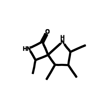 CC1NC2(C(=O)NC2C)C(C)C1C